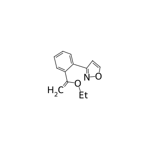 C=C(OCC)c1ccccc1-c1ccon1